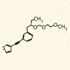 CC[C@H](Cc1cccc(C#Cc2ccsc2)c1)OCOCCOC